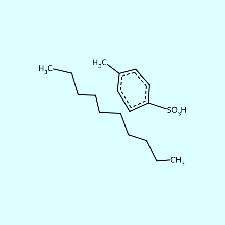 CCCCCCCCCC.Cc1ccc(S(=O)(=O)O)cc1